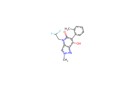 Cc1ccccc1-c1c(O)c2nn(C)cc2n(CC(F)F)c1=O